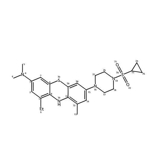 CCc1cc(N(C)C)cc2c1Nc1c(C)cc(N3CCN(S(=O)(=O)C4CC4)CC3)cc1S2